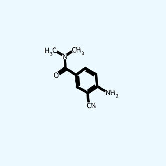 CN(C)C(=O)c1ccc(N)c(C#N)c1